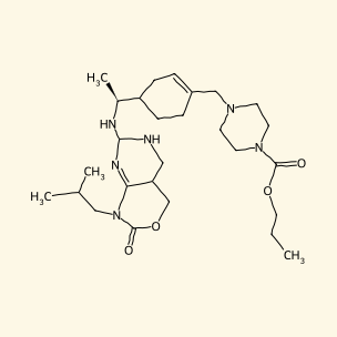 CCCOC(=O)N1CCN(CC2=CCC([C@H](C)NC3N=C4C(CN3)COC(=O)N4CC(C)C)CC2)CC1